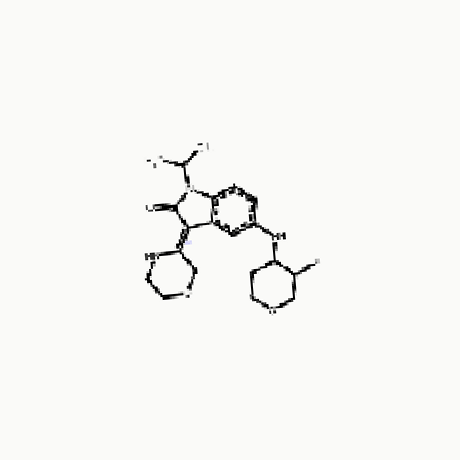 CC(C)N1C(=O)/C(=C2/COCCN2)c2cc(NC3CCOCC3F)ccc21